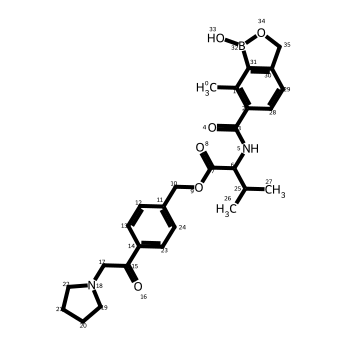 Cc1c(C(=O)NC(C(=O)OCc2ccc(C(=O)CN3CCCC3)cc2)C(C)C)ccc2c1B(O)OC2